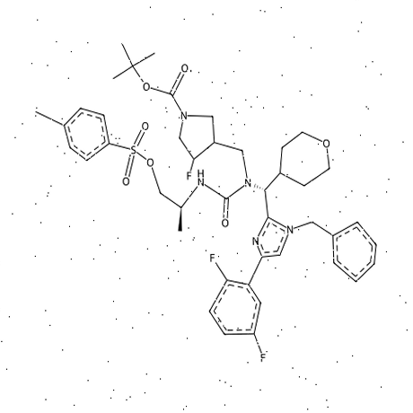 Cc1ccc(S(=O)(=O)OC[C@H](C)NC(=O)N(CC2CN(C(=O)OC(C)(C)C)CC2F)[C@@H](c2nc(-c3cc(F)ccc3F)cn2Cc2ccccc2)C2CCOCC2)cc1